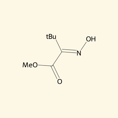 COC(=O)/C(=N/O)C(C)(C)C